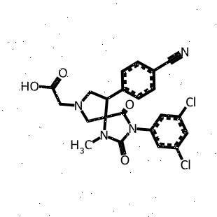 CN1C(=O)N(c2cc(Cl)cc(Cl)c2)C(=O)C12CN(CC(=O)O)CC2c1ccc(C#N)cc1